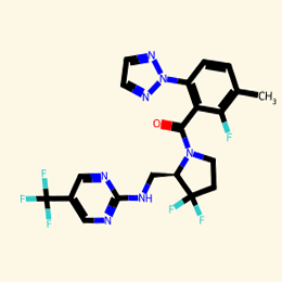 Cc1ccc(-n2nccn2)c(C(=O)N2CCC(F)(F)[C@H]2CNc2ncc(C(F)(F)F)cn2)c1F